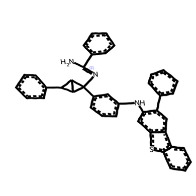 N/C(=N\C1(c2cccc(Nc3cc4sc5ccccc5c4cc3-c3ccccc3)c2)C2C(c3ccccc3)C21)c1ccccc1